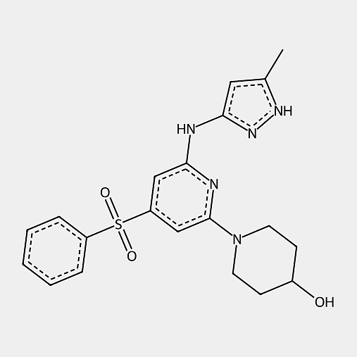 Cc1cc(Nc2cc(S(=O)(=O)c3ccccc3)cc(N3CCC(O)CC3)n2)n[nH]1